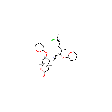 C/C(Cl)=C/CC(C)[C@@H](/C=C/[C@@H]1[C@H]2CC(=O)O[C@H]2C[C@H]1OC1CCCCO1)OC1CCCCO1